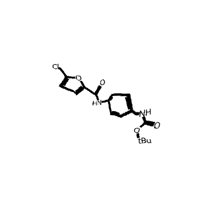 CC(C)(C)OC(=O)Nc1ccc(NC(=O)c2ccc(Cl)o2)cc1